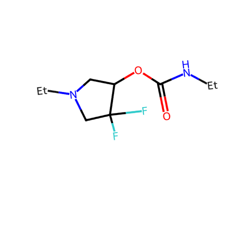 CCNC(=O)OC1CN(CC)CC1(F)F